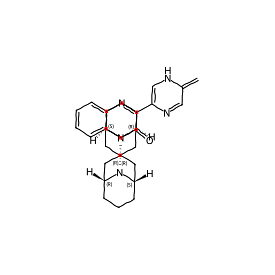 C=C1C=NC(c2nc3ccccc3n([C@H]3C[C@H]4CCC[C@@H](C3)N4[C@H]3C[C@@H]4CCC[C@@H](C4)C3)c2=O)=CN1